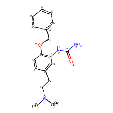 CCCN(CCC)CCc1ccc(OCc2ccccc2)c(NC(N)=O)c1